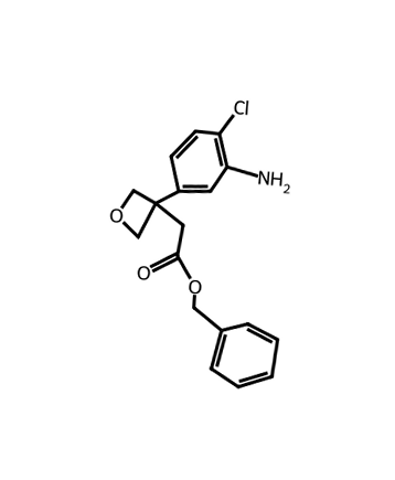 Nc1cc(C2(CC(=O)OCc3ccccc3)COC2)ccc1Cl